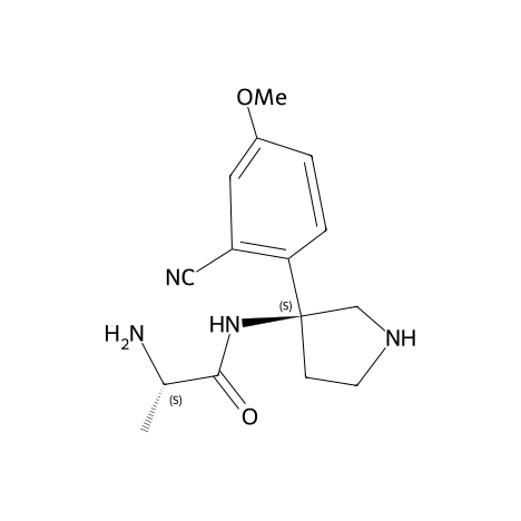 COc1ccc([C@@]2(NC(=O)[C@H](C)N)CCNC2)c(C#N)c1